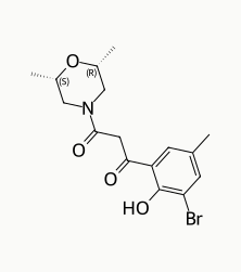 Cc1cc(Br)c(O)c(C(=O)CC(=O)N2C[C@@H](C)O[C@@H](C)C2)c1